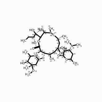 CC[C@@H](O)[C@@](C)(O)C1OC(=O)[C@H](C)[C@@H](O[C@H]2C[C@](C)(OC)[C@@H](O)C(C)O2)[C@H](C)[C@@H](O[C@@H]2OC(C)C[C@@H](N(C)C)C2O)[C@](C)(O)C[C@@H](C)CN(C)[C@@H]1C